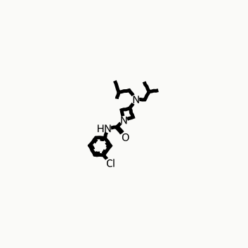 CC(C)CN(CC(C)C)C1CN(C(=O)Nc2cccc(Cl)c2)C1